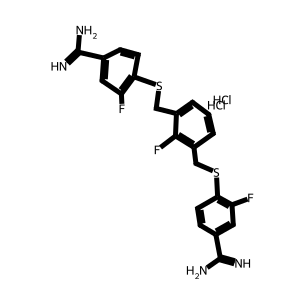 Cl.Cl.N=C(N)c1ccc(SCc2cccc(CSc3ccc(C(=N)N)cc3F)c2F)c(F)c1